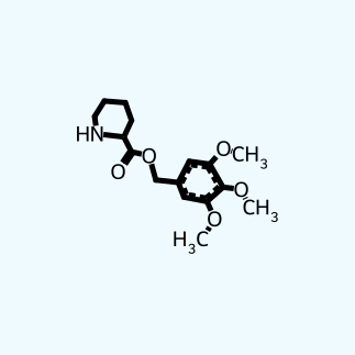 COc1cc(COC(=O)C2CCCCN2)cc(OC)c1OC